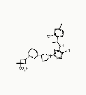 Cc1ccc(C(C)Nc2nc(N3CCC(C4CCCN(C5CC(C)(C(=O)O)C5)C4)C3)ncc2Cl)c(Cl)c1